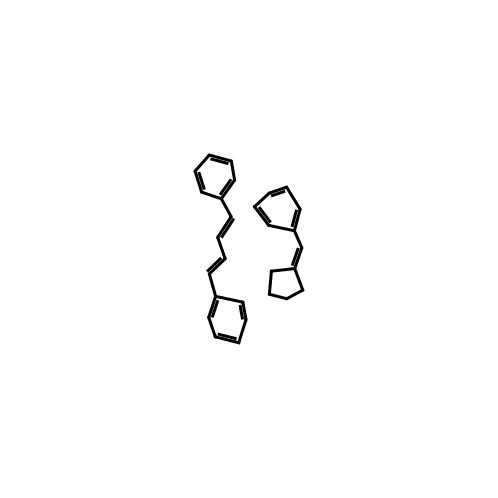 C(=C1CCCC1)c1ccccc1.C(C=Cc1ccccc1)=Cc1ccccc1